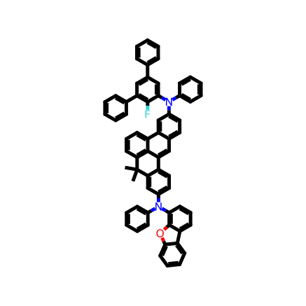 CC1(C)c2cc(N(c3ccccc3)c3cccc4c3oc3ccccc34)ccc2-c2cc3ccc(N(c4ccccc4)c4cc(-c5ccccc5)cc(-c5ccccc5)c4F)cc3c3cccc1c23